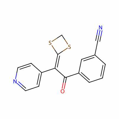 N#Cc1cccc(C(=O)C(=C2SCS2)c2ccncc2)c1